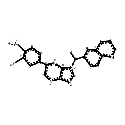 CC(c1ccc2ncccc2c1)n1cnc2ncc(-c3ccc(C(=O)O)c(F)c3)nc21